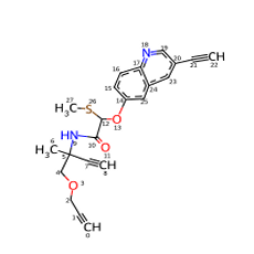 C#CCOCC(C)(C#C)NC(=O)C(Oc1ccc2ncc(C#C)cc2c1)SC